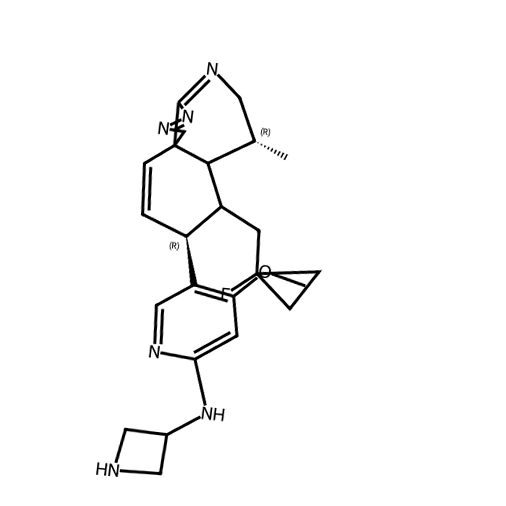 COc1cc(NC2CNC2)ncc1[C@H]1C=CC23CN=NC2=NC[C@H](C)C3C1CC1(F)CC1